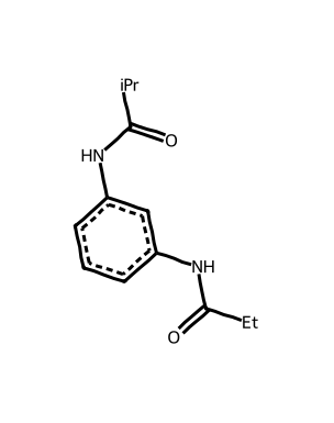 CCC(=O)Nc1cccc(NC(=O)C(C)C)c1